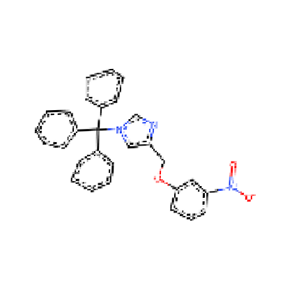 O=[N+]([O-])c1cccc(OCc2cn(C(c3ccccc3)(c3ccccc3)c3ccccc3)cn2)c1